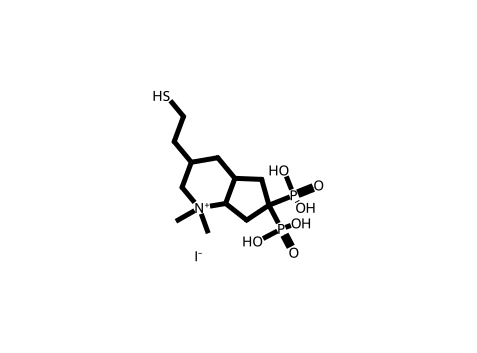 C[N+]1(C)CC(CCS)CC2CC(P(=O)(O)O)(P(=O)(O)O)CC21.[I-]